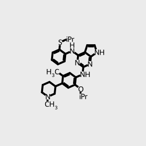 Cc1cc(Nc2nc(Nc3ccccc3SC(C)C)c3cc[nH]c3n2)c(OC(C)C)cc1C1CCCN(C)C1